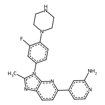 Cc1nc2ccc(-c3ccnc(N)c3)nc2n1-c1ccc(N2CCNCC2)c(F)c1